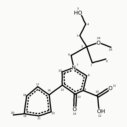 CCC(CCO)(Cn1cc(C(=O)O)c(=O)c(-c2ccc(C)cc2)c1)OC